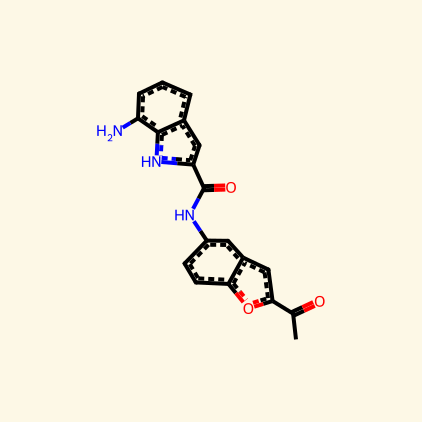 CC(=O)c1cc2cc(NC(=O)c3cc4cccc(N)c4[nH]3)ccc2o1